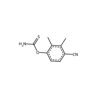 Cc1c(C#N)ccc(OC(N)=S)c1C